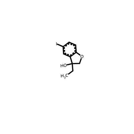 CCC1(O)COc2ccc(I)cc21